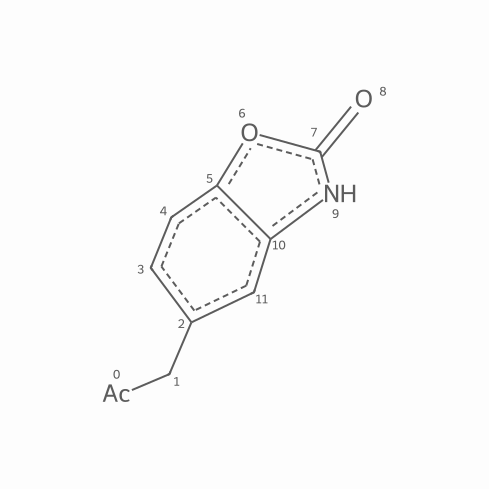 CC(=O)Cc1ccc2oc(=O)[nH]c2c1